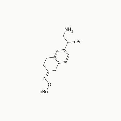 CCCCO/N=C1/CCc2cc(C(CN)CCC)ccc2C1